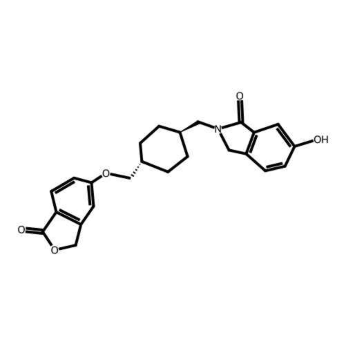 O=C1OCc2cc(OC[C@H]3CC[C@H](CN4Cc5ccc(O)cc5C4=O)CC3)ccc21